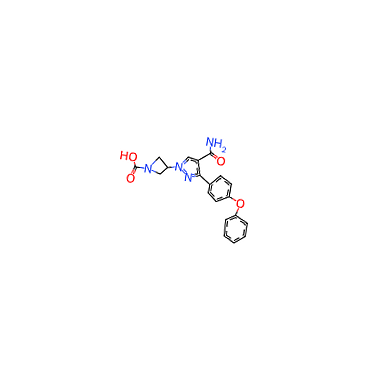 NC(=O)c1cn(C2CN(C(=O)O)C2)nc1-c1ccc(Oc2ccccc2)cc1